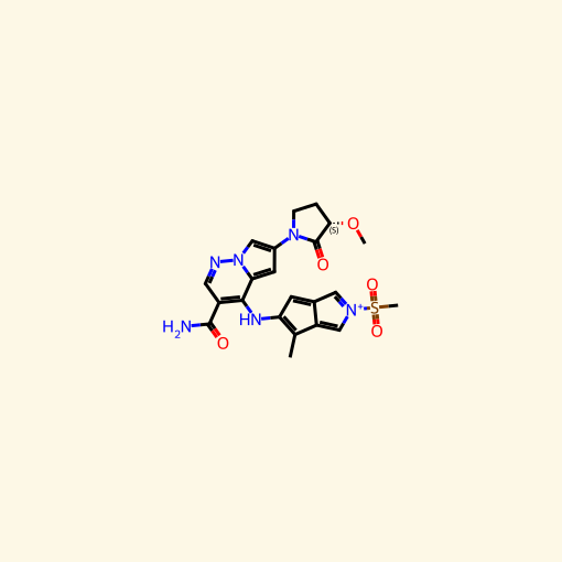 CO[C@H]1CCN(c2cc3c(NC4=C(C)C5=C[N+](S(C)(=O)=O)=CC5=C4)c(C(N)=O)cnn3c2)C1=O